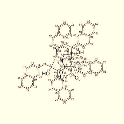 NC(=O)C1(C(=O)N(CC(O)(Cc2ccc3ccccc3c2)C(c2ccc3ccccc3c2)c2cccc3ccccc23)CC(O)(Cc2ccc3ccccc3c2)C(c2ccc3ccccc3c2)c2cccc3ccccc23)CCCCC1